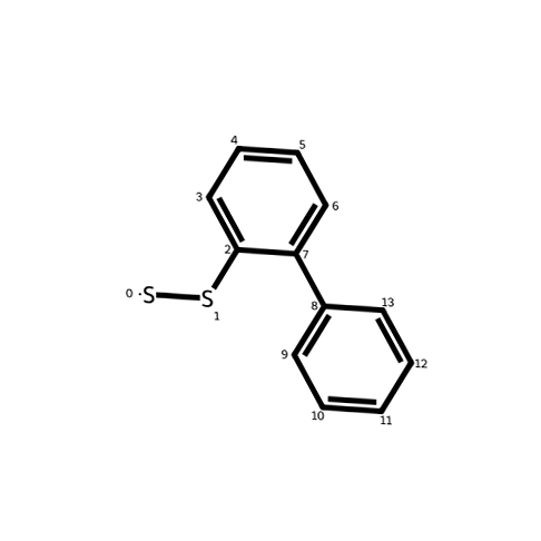 [S]Sc1ccccc1-c1ccccc1